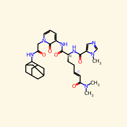 CN(C)C(=O)/C=C/CC[C@H](NC(=O)c1cncn1C)C(=O)Nc1cccn(CC(=O)NC2C3CC4CC(C3)CC2C4)c1=O